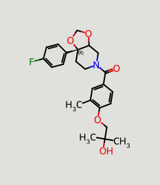 Cc1cc(C(=O)N2CC[C@]3(c4ccc(F)cc4)OCOC3C2)ccc1OCC(C)(C)O